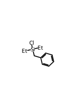 CC[Si](Cl)(CC)Cc1ccccc1